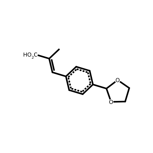 CC(=Cc1ccc(C2OCCO2)cc1)C(=O)O